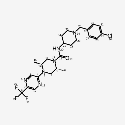 C[C@@H]1CN(c2cnc(C(F)(F)F)cn2)[C@@H](C)CN1C(=O)NC1CCN(Cc2ccc(Cl)cc2)CC1